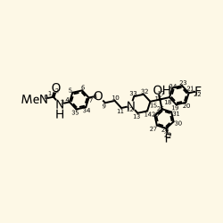 CNC(=O)Nc1ccc(OCCCN2CCC(C(O)(c3ccc(F)cc3)c3ccc(F)cc3)CC2)cc1